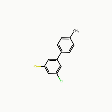 Cc1ccc(-c2cc(S)cc(Cl)c2)cc1